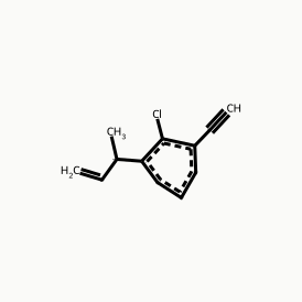 C#Cc1cccc([C](C)C=C)c1Cl